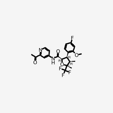 COc1cc(F)ccc1[C@H]1[C@@H](C)[C@](C)(C(F)(F)F)O[C@H]1C(=O)Nc1ccnc(C(C)=O)c1